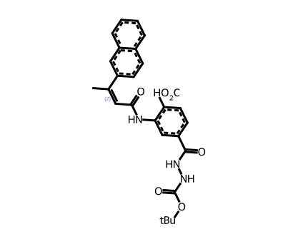 C/C(=C/C(=O)Nc1cc(C(=O)NNC(=O)OC(C)(C)C)ccc1C(=O)O)c1ccc2ccccc2c1